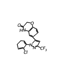 O=C1COc2ccc(-c3cc(C(F)(F)F)nn3C3=CCCC=C3Cl)cc2N1